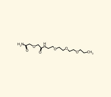 CCCOCCOCCOCCNC(=O)COCC(N)=O